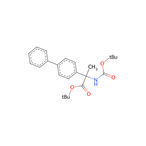 CC(C)(C)OC(=O)NC(C)(C(=O)OC(C)(C)C)c1ccc(-c2ccccc2)cc1